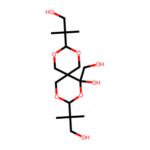 CC(C)(CO)C1OCC2(CO1)COC(C(C)(C)CO)OC2(O)CO